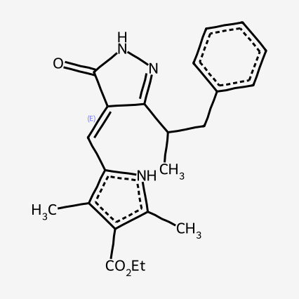 CCOC(=O)c1c(C)[nH]c(/C=C2/C(=O)NN=C2C(C)Cc2ccccc2)c1C